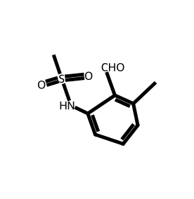 Cc1cccc(NS(C)(=O)=O)c1C=O